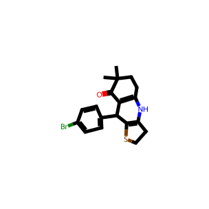 CC1(C)CCC2=C(C1=O)C(c1ccc(Br)cc1)C1=C(CCS1)N2